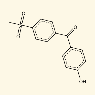 CS(=O)(=O)c1ccc(C(=O)c2ccc(O)cc2)cc1